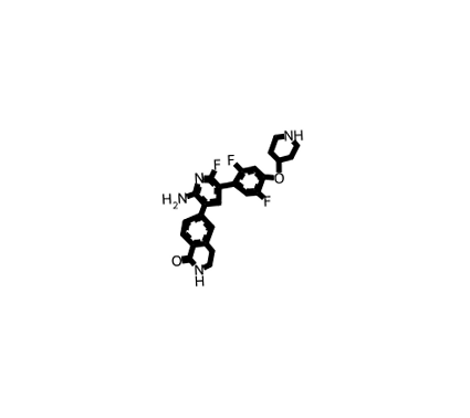 Nc1nc(F)c(-c2cc(F)c(OC3CCNCC3)cc2F)cc1-c1ccc2c(c1)CCNC2=O